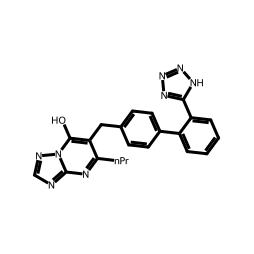 CCCc1nc2ncnn2c(O)c1Cc1ccc(-c2ccccc2-c2nnn[nH]2)cc1